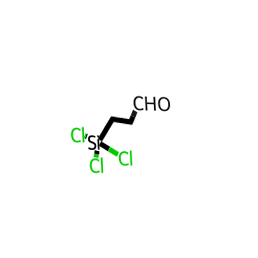 O=CCC[Si](Cl)(Cl)Cl